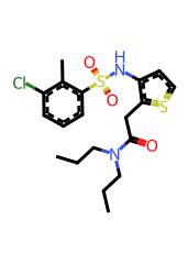 CCCN(CCC)C(=O)Cc1sccc1NS(=O)(=O)c1cccc(Cl)c1C